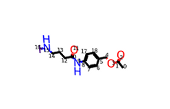 CC(=O)OCc1ccc(NC(=O)CCCNI)cc1